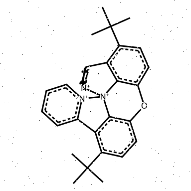 CC(C)(C)c1ccc2c3c1-c1cccc[n+]1[N+]31c3c(ccc(C(C)(C)C)c3-c3cccc[n+]31)O2